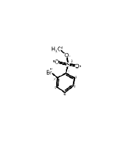 COS(=O)(=O)c1ccccc1Br